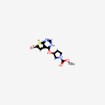 CC(C)(C)OC(=O)N1CCC(Oc2ncnc3sc(Br)cc23)C1